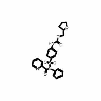 O=C(Nc1ccc(S(=O)(=O)N(C(=O)c2ccccn2)c2ccccc2)cc1)OCC1CCCO1